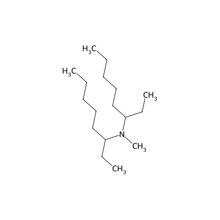 CCCCCC(CC)N(C)C(CC)CCCCC